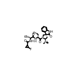 C=[N+](C)[C@@H]1C[C@@]2(CN1C(=O)[C@H](CC(C)C)NC(=O)[C@@H](NC(=O)C1CC1F)C(C)(C)C)C(=O)Nc1ccccc12